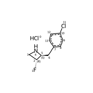 Cl.F[C@@H]1CN[C@H]1Cc1ccc(Cl)cc1